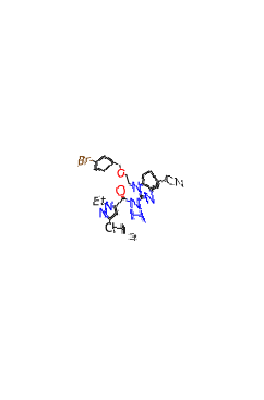 CCn1nc(C)cc1C(=O)Nc1nc2cc(C#N)ccc2n1CCOCc1ccc(Br)cc1